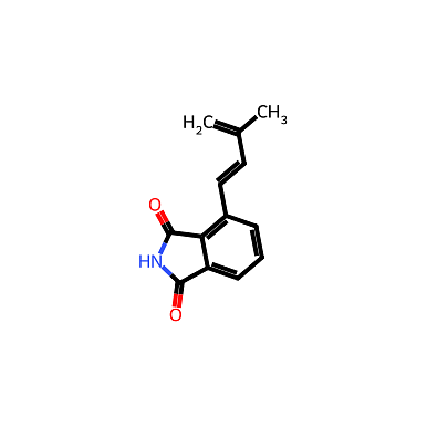 C=C(C)C=Cc1cccc2c1C(=O)NC2=O